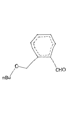 CCCCOCc1ccccc1C=O